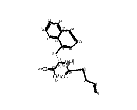 C=CCCC(=O)N[C@@H](Cc1cccc2ccccc12)C(=O)O